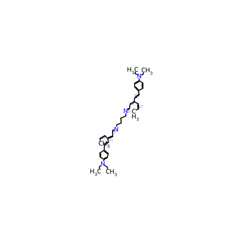 C\C=C/C(/C=C/c1ccc(N(CC)CC)cc1)=C\C=N\CCCC/N=C/C=C(\C=C/C)/C=C/c1ccc(N(CC)CC)cc1